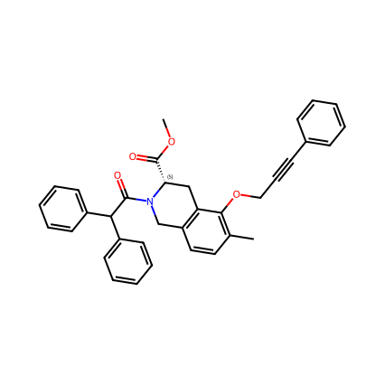 COC(=O)[C@@H]1Cc2c(ccc(C)c2OCC#Cc2ccccc2)CN1C(=O)C(c1ccccc1)c1ccccc1